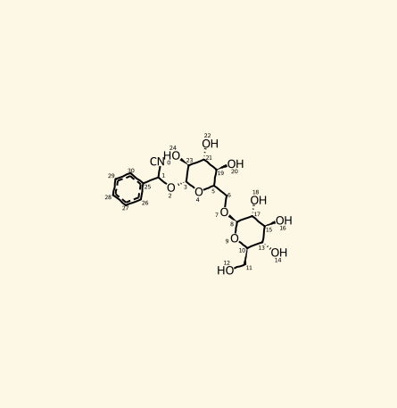 N#CC(O[C@H]1OC(CO[C@@H]2O[C@H](CO)[C@@H](O)[C@H](O)[C@H]2O)[C@H](O)[C@@H](O)[C@@H]1O)c1ccccc1